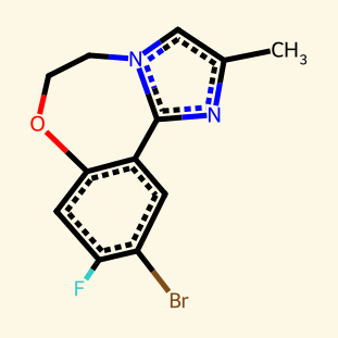 Cc1cn2c(n1)-c1cc(Br)c(F)cc1OCC2